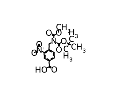 COC(=O)N(Cc1ccc(C(=O)O)cc1[N+](=O)[O-])C(=O)OC(C)(C)C